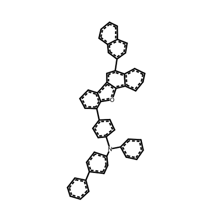 c1ccc(-c2ccc(N(c3ccccc3)c3ccc(-c4cccc5c4oc4c6ccccc6c(-c6ccc7ccccc7c6)cc54)cc3)cc2)cc1